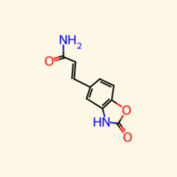 NC(=O)C=Cc1ccc2oc(=O)[nH]c2c1